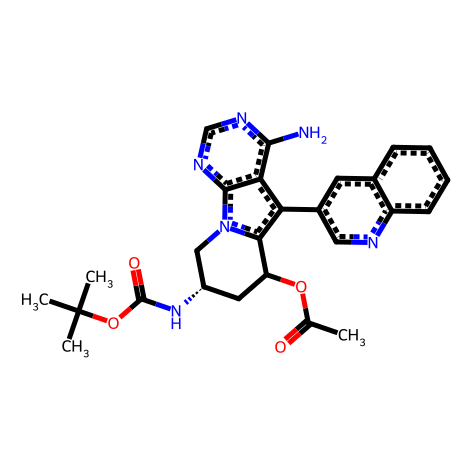 CC(=O)OC1C[C@H](NC(=O)OC(C)(C)C)Cn2c1c(-c1cnc3ccccc3c1)c1c(N)ncnc12